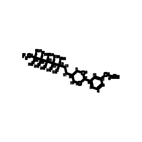 CCCCOc1cccc(C2OCC(CCC(F)(F)C(F)(F)C(F)(F)C(F)(F)C(F)(F)C(F)(F)F)CO2)c1